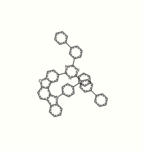 c1ccc(-c2ccc(-c3nc(-c4cccc(-c5ccccc5)c4)nc(-c4ccc5oc6ccc7c8ccccc8n(-c8ccc(-c9ccccc9)cc8)c7c6c5c4)n3)cc2)cc1